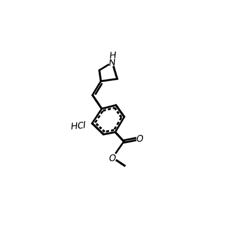 COC(=O)c1ccc(C=C2CNC2)cc1.Cl